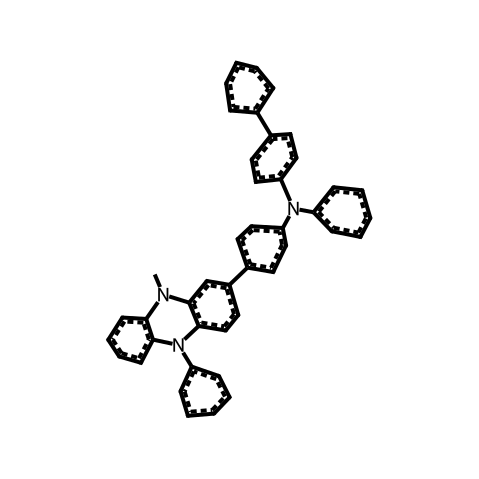 CN1c2ccccc2N(c2ccccc2)c2ccc(-c3ccc(N(c4ccccc4)c4ccc(-c5ccccc5)cc4)cc3)cc21